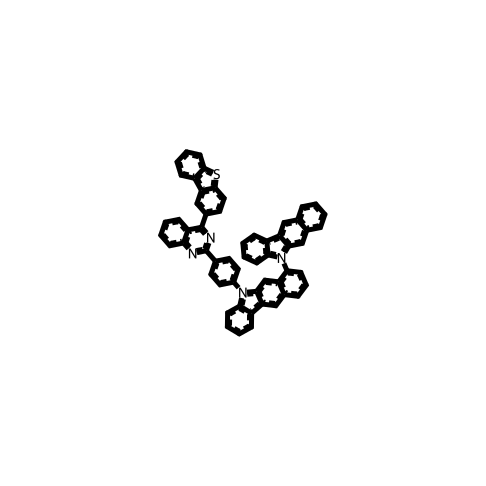 c1ccc2cc3c(cc2c1)c1ccccc1n3-c1cccc2cc3c4ccccc4n(-c4ccc(-c5nc(-c6ccc7sc8ccccc8c7c6)c6ccccc6n5)cc4)c3cc12